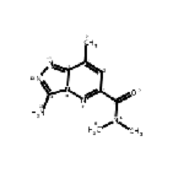 Cc1cc(C(=O)N(C)C)nn2c(N)nnc12